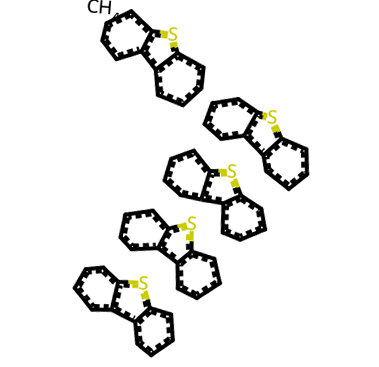 C.c1ccc2c(c1)sc1ccccc12.c1ccc2c(c1)sc1ccccc12.c1ccc2c(c1)sc1ccccc12.c1ccc2c(c1)sc1ccccc12.c1ccc2c(c1)sc1ccccc12